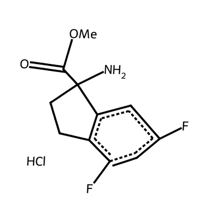 COC(=O)C1(N)CCc2c(F)cc(F)cc21.Cl